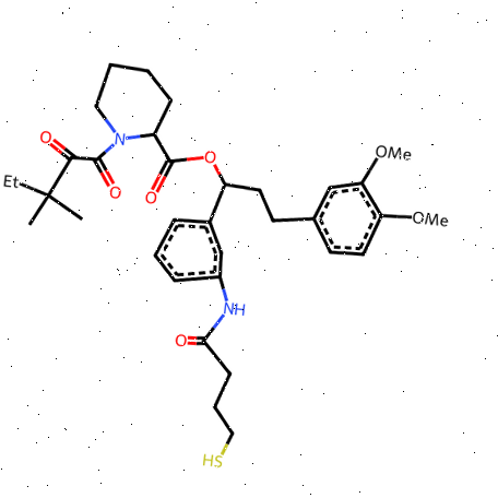 CCC(C)(C)C(=O)C(=O)N1CCCCC1C(=O)OC(CCc1ccc(OC)c(OC)c1)c1cccc(NC(=O)CCCS)c1